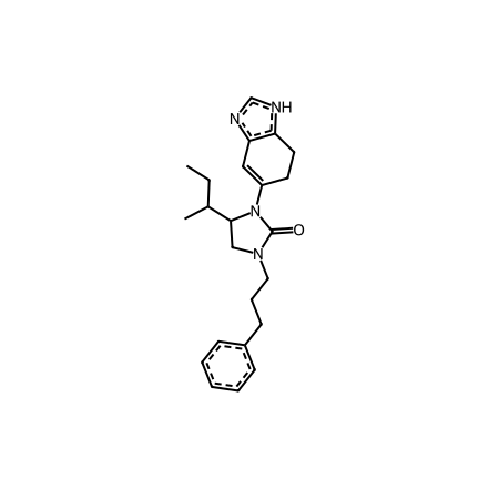 CCC(C)C1CN(CCCc2ccccc2)C(=O)N1C1=Cc2nc[nH]c2CC1